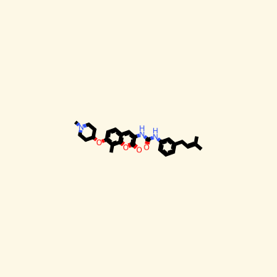 CC(C)=CCc1cccc(NC(=O)Nc2cc3ccc(OC4CCN(C)CC4)c(C)c3oc2=O)c1